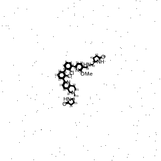 COc1nc(-c2cccc(-c3cccc(-c4ccc5c(n4)CCN(C[C@@H]4CCC(=O)N4)C5)c3Cl)c2Cl)ccc1CNC[C@H]1CCC(=O)N1